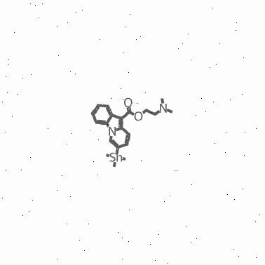 CN(C)CCOC(=O)c1c2ccccc2n2c[c]([Sn]([CH3])([CH3])[CH3])ccc12